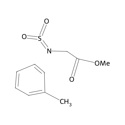 COC(=O)CN=S(=O)=O.Cc1ccccc1